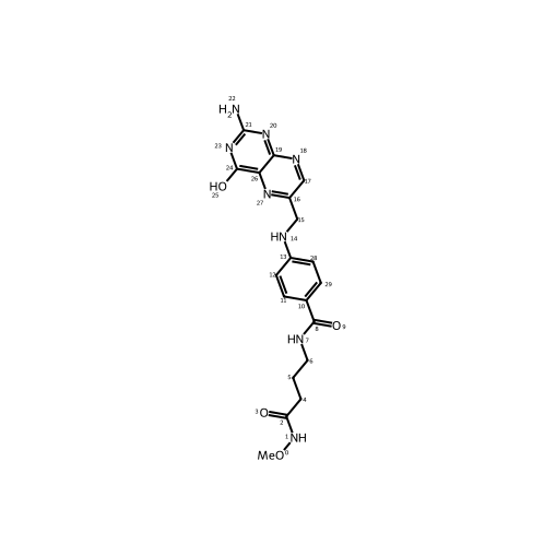 CONC(=O)CCCNC(=O)c1ccc(NCc2cnc3nc(N)nc(O)c3n2)cc1